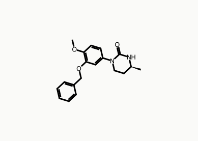 COc1ccc(N2CC[C@H](C)NC2=O)cc1OCc1ccccc1